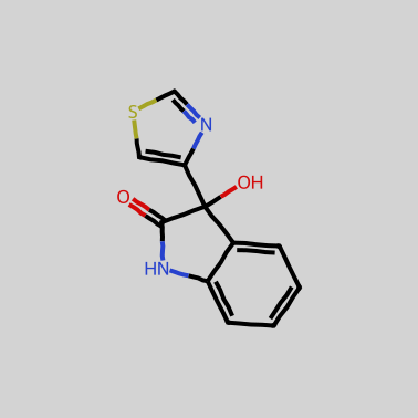 O=C1Nc2ccccc2C1(O)c1cscn1